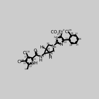 CCOC(=O)c1sc(N2C[C@@H]3C(NC(=O)c4[nH]c(C)c(Cl)c4Cl)[C@@H]3C2)nc1-c1ccccc1Cl